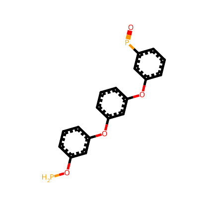 O=Pc1cccc(Oc2cccc(Oc3cccc(OP)c3)c2)c1